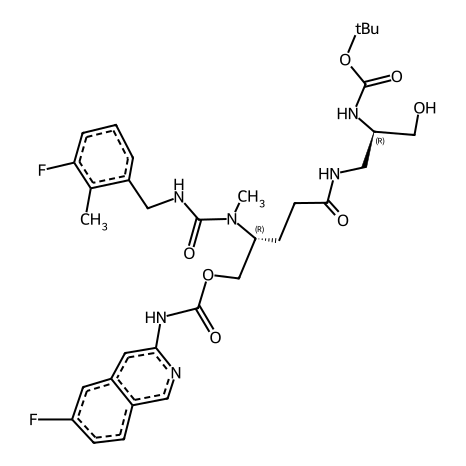 Cc1c(F)cccc1CNC(=O)N(C)[C@H](CCC(=O)NC[C@H](CO)NC(=O)OC(C)(C)C)COC(=O)Nc1cc2cc(F)ccc2cn1